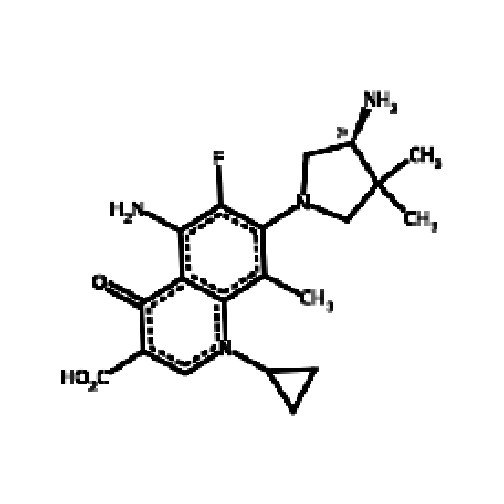 Cc1c(N2C[C@@H](N)C(C)(C)C2)c(F)c(N)c2c(=O)c(C(=O)O)cn(C3CC3)c12